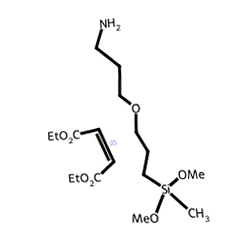 CCOC(=O)/C=C\C(=O)OCC.CO[Si](C)(CCCOCCCN)OC